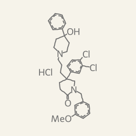 COc1cccc(CN2CC(CCCN3CCC(O)(c4ccccc4)CC3)(c3ccc(Cl)c(Cl)c3)CCC2=O)c1.Cl